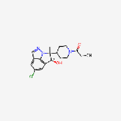 CC1(C2CCN(C(=O)CC#N)CC2)[C@@H](O)c2cc(Cl)cc3cnn1c23